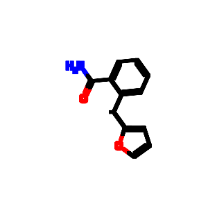 NC(=O)c1ccccc1[CH]c1ccco1